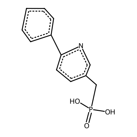 O=P(O)(O)Cc1ccc(-c2ccccc2)nc1